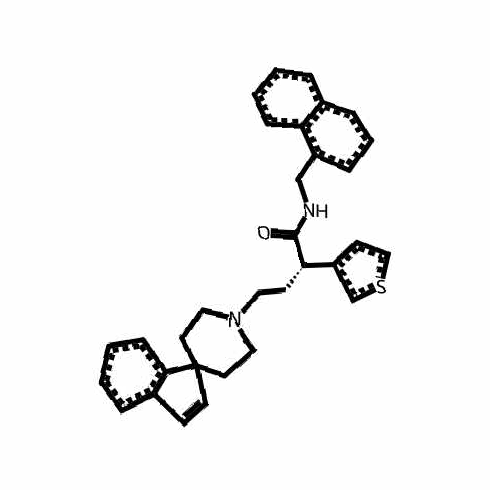 O=C(NCc1cccc2ccccc12)[C@@H](CCN1CCC2(C=Cc3ccccc32)CC1)c1ccsc1